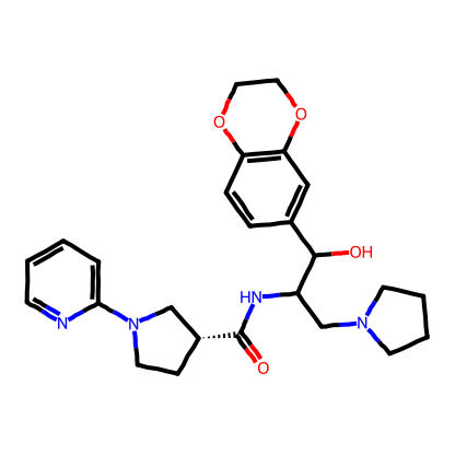 O=C(NC(CN1CCCC1)C(O)c1ccc2c(c1)OCCO2)[C@@H]1CCN(c2ccccn2)C1